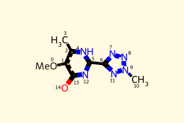 COc1c(C)[nH]c(-c2nnn(C)n2)nc1=O